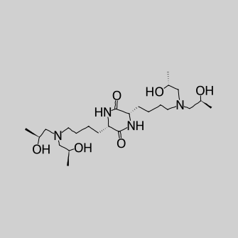 C[C@H](O)CN(CCCC[C@@H]1NC(=O)[C@H](CCCCN(C[C@H](C)O)C[C@@H](C)O)NC1=O)C[C@H](C)O